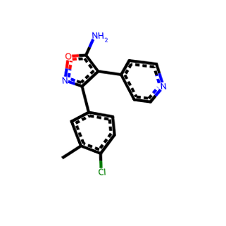 Cc1cc(-c2noc(N)c2-c2ccncc2)ccc1Cl